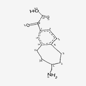 NC1CCc2ccc(C(=O)C(=O)O)cc2CC1